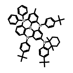 Cc1cc2c3c(c1)[Si](c1ccccc1)(c1ccccc1)c1cccc4c1B3c1c(cc(N3c5ccc(C(C)(C)C)cc5C5(C)CCCCC35C)cc1N2c1ccc(C(C)(C)C)cc1)N4c1ccc(C(C)(C)C)cc1